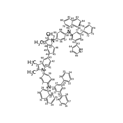 Cc1c(C)n(-c2ccc(N(c3cc(-c4ccccc4)cc(-c4ccccc4)c3)c3cccc4ccccc34)cc2)c2ccc(-c3ccc4c(c3)c(C)c(C)n4-c3ccc(N(c4cc(-c5ccccc5)cc(-c5ccccc5)c4)c4cccc5ccccc45)cc3)cc12